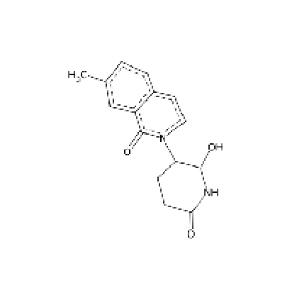 Cc1ccc2ccn(C3CCC(=O)NC3O)c(=O)c2c1